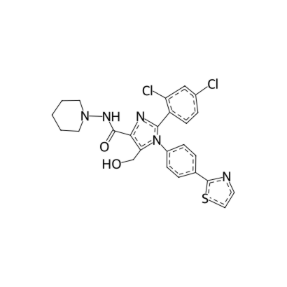 O=C(NN1CCCCC1)c1nc(-c2ccc(Cl)cc2Cl)n(-c2ccc(-c3nccs3)cc2)c1CO